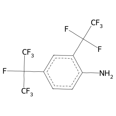 Nc1ccc(C(F)(C(F)(F)F)C(F)(F)F)cc1C(F)(F)C(F)(F)F